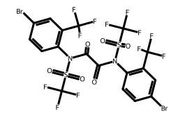 O=C(C(=O)N(c1ccc(Br)cc1C(F)(F)F)S(=O)(=O)C(F)(F)F)N(c1ccc(Br)cc1C(F)(F)F)S(=O)(=O)C(F)(F)F